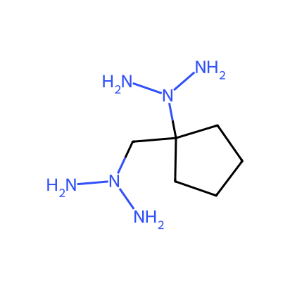 NN(N)CC1(N(N)N)CCCC1